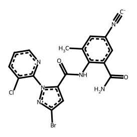 [C-]#[N+]c1cc(C)c(NC(=O)c2cc(Br)nn2-c2ncccc2Cl)c(C(N)=O)c1